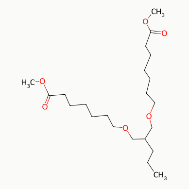 CCCC(COCCCCCCC(=O)OC)COCCCCCCC(=O)OC